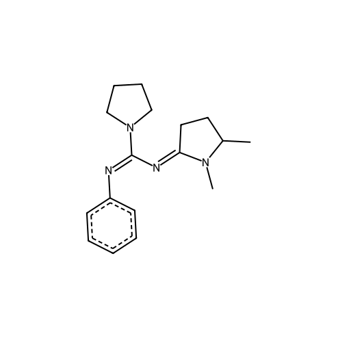 CC1CCC(=NC(=Nc2ccccc2)N2CCCC2)N1C